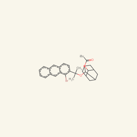 CCC(C)C(=O)OC1C2CC3CC1CC(C2)C3OC(C)(C)c1ccc2cc3ccccc3cc2c1Br